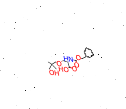 CC(C)(CO)COCC(NC(=O)OCc1ccccc1)C(=O)O